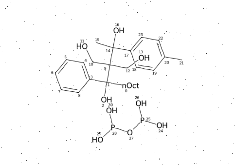 CCCCCCCCC(O)(c1ccccc1)C(CO)(CO)C(C)(O)c1ccc(C)cc1.OP(O)OP(O)O